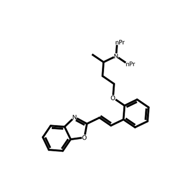 CCCN(CCC)C(C)CCOc1ccccc1C=Cc1nc2ccccc2o1